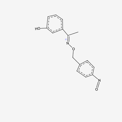 C/C(=N\OCc1ccc(N=O)cc1)c1cccc(O)c1